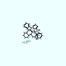 Cl.Cl.[CH2]=[Zr]([C]1=CC=CC1)([c]1cccc(C)c1)[C]1(C)C2=C3Cc4ccccc4C3C3CCCCC3C2CC(C)C1(C)C